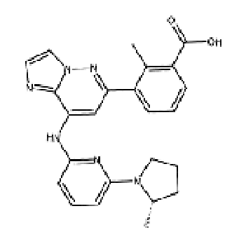 Cc1c(C(=O)O)cccc1-c1cc(Nc2cccc(N3CCC[C@@H]3C)n2)c2nccn2n1